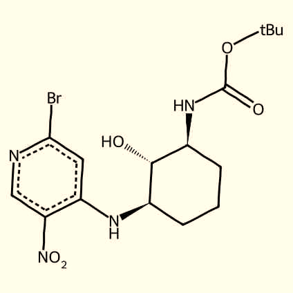 CC(C)(C)OC(=O)N[C@H]1CCC[C@@H](Nc2cc(Br)ncc2[N+](=O)[O-])[C@@H]1O